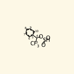 O=[SH](=O)OC(c1ccccc1)C(F)(F)F